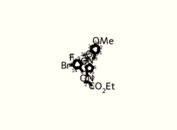 CCOC(=O)c1coc([C@@]2(Cc3ccc(F)c(Br)c3)CC[C@H](N(Cc3ccc(OC)cc3)S(C)(=O)=O)C2)n1